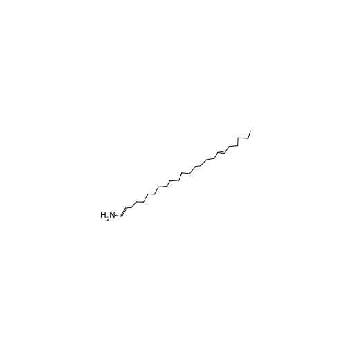 CCCCCC=CCCCCCCCCCCCCCCCC=CN